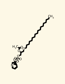 CCCCCCCCCCCCCCCCCCOCC(COP(=O)([O-])OC1(C)C[n+]2cccc1c2)OC(C)=O